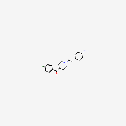 N[C@H]1CC[C@H](CCN2CCC(C(=O)c3ccc(F)cc3)CC2)CC1